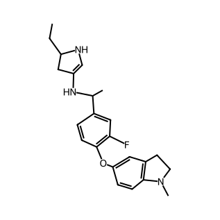 CCC1CC(NC(C)c2ccc(Oc3ccc4c(c3)CCN4C)c(F)c2)=CN1